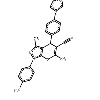 Cc1ccc(-n2nc(C)c3c2OC(N)=C(C#N)C3c2ccc(-n3ccnc3)cc2)cc1